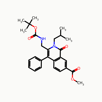 COC(=O)c1ccc2c(-c3ccccc3)c(CNC(=O)OC(C)(C)C)n(CC(C)C)c(=O)c2c1